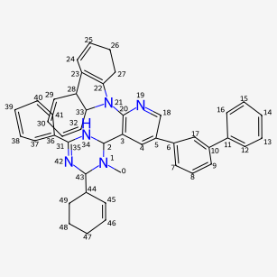 CN1C(c2cc(-c3cccc(-c4ccccc4)c3)cnc2N2C3=C(C=CCC3)C3C=CC=CC32)NC(c2ccccc2)=NC1C1C=CCCC1